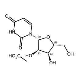 CC(=O)O.O=c1ccn([C@@H]2O[C@H](CO)[C@@H](O)[C@H]2O)c(=O)[nH]1